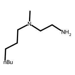 CCCCCCCN(C)CCN